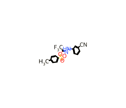 Cc1ccc(S(=O)(=O)OC(=NNc2cccc(C#N)c2)C(F)(F)F)cc1